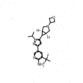 CC(C)n1nc(-c2cnc(N)c(C(C)(F)F)c2)cc1C1[C@H]2CN(C3COC3)C[C@@H]12